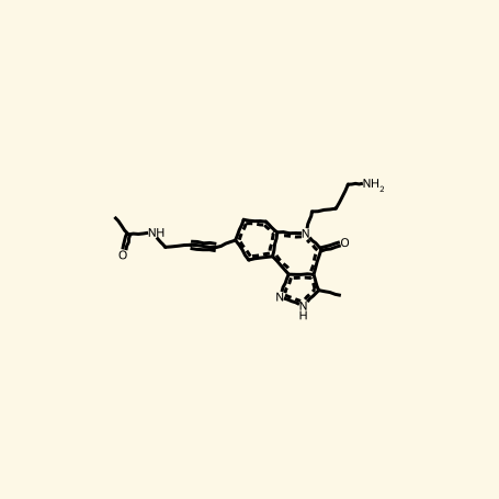 CC(=O)NCC#Cc1ccc2c(c1)c1n[nH]c(C)c1c(=O)n2CCCN